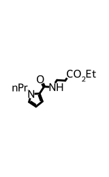 CCCn1cccc1C(=O)NCCC(=O)OCC